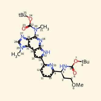 COCC[C@H](NC(=O)OC(C)(C)C)c1cccc(-c2cc3c(nc(N(C)C(=O)OC(C)(C)C)c4ncn(C)c43)[nH]2)n1